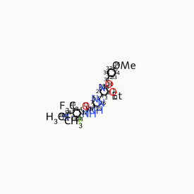 CCOc1cc(-c2ncc(NC(=O)Nc3cc(C(F)(F)F)c(CN(C)C)cc3F)cn2)cnc1OCc1ccc(OC)cc1